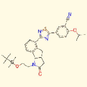 CC(C)Oc1ccc(-c2nc(-c3cccc4c3CC3CC(=O)N(CCO[Si](C)(C)C(C)(C)C)C43)ns2)cc1C#N